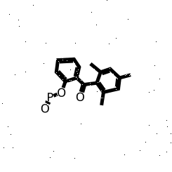 Cc1cc(C)c(C(=O)c2ccccc2OP=O)c(C)c1